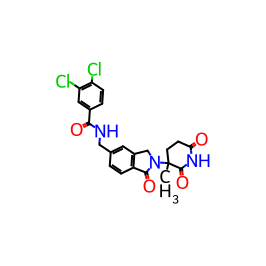 CC1(N2Cc3cc(CNC(=O)c4ccc(Cl)c(Cl)c4)ccc3C2=O)CCC(=O)NC1=O